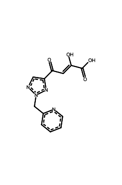 O=C(O)C(O)=CC(=O)c1cnn(Cc2ccccn2)n1